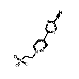 N#Cc1cnc(-c2cc[n+](CCS(=O)(=O)[O-])nc2)cn1